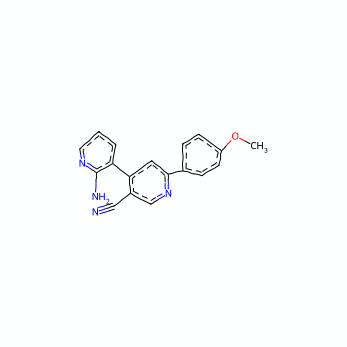 COc1ccc(-c2cc(-c3cccnc3N)c(C#N)cn2)cc1